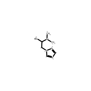 CN(C)C(Cn1cncn1)C(C)(C)C